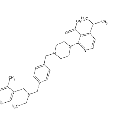 CCN(Cc1ccc(CN2CCN(c3nccc(C(C)C)c3C(=O)O)CC2)cc1)Cc1cccnc1C